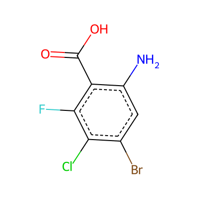 Nc1cc(Br)c(Cl)c(F)c1C(=O)O